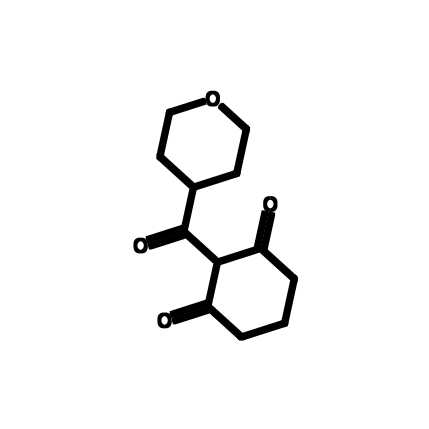 O=C1CCCC(=O)C1C(=O)C1CCOCC1